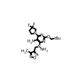 Cc1nonc1CN(N)c1nc(OCC(C)(C)C)nc(N2CCC(F)(F)C2)c1N